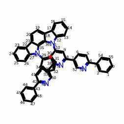 c1ccc(-c2ccc(-c3cc(-n4c5ccccc5c5ccc6c7ccccc7n(-c7ccccc7)c6c54)cc(-c4ccc(-c5ccccc5)nc4)n3)cn2)cc1